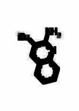 CCC(C)c1cc2ccccc2nc1N